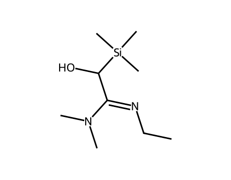 CCN=C(C(O)[Si](C)(C)C)N(C)C